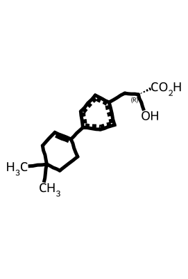 CC1(C)CC=C(c2ccc(C[C@@H](O)C(=O)O)cc2)CC1